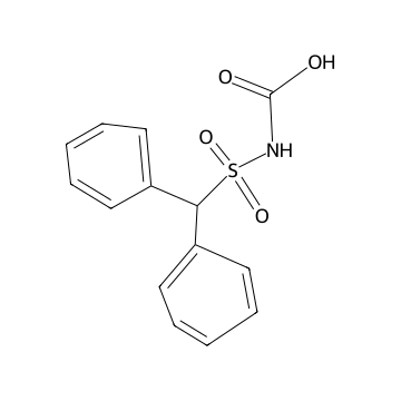 O=C(O)NS(=O)(=O)C(c1ccccc1)c1ccccc1